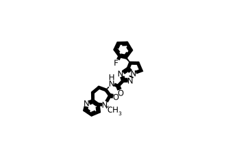 CN1C(=O)[C@@H](NC(=O)c2nc3n(n2)CC[C@@H]3c2ccccc2F)CCc2ncccc21